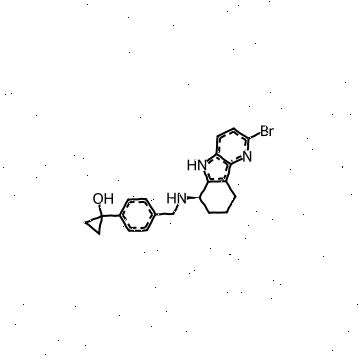 OC1(c2ccc(CN[C@@H]3CCCc4c3[nH]c3ccc(Br)nc43)cc2)CC1